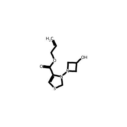 C=CCOC(=O)C1=CSCN1N1CC(O)C1